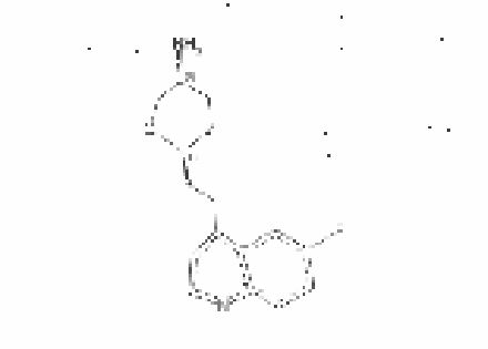 N[C@H]1CC[C@@H](CCc2ccnc3ccc(F)cc23)OC1